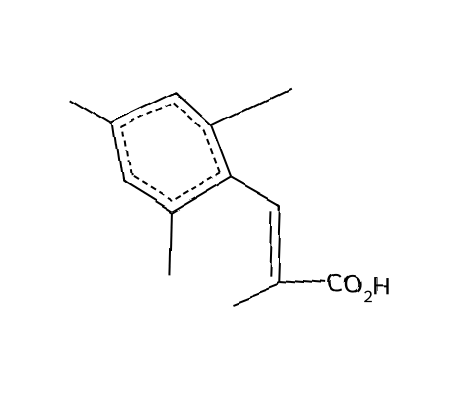 C/C(=C\c1c(C)cc(C)cc1C)C(=O)O